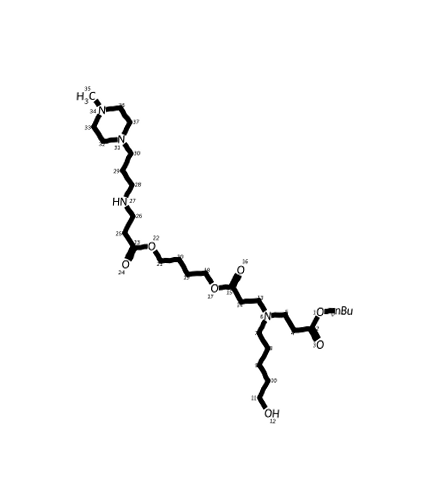 CCCCOC(=O)CCN(CCCCCO)CCC(=O)OCCCCOC(=O)CCNCCCN1CCN(C)CC1